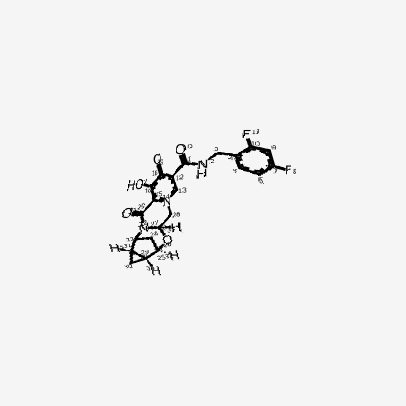 O=C(NCc1ccc(F)cc1F)c1cn2c(c(O)c1=O)C(=O)N1C3C[C@@H](O[C@H]1C2)[C@@H]1C[C@H]31